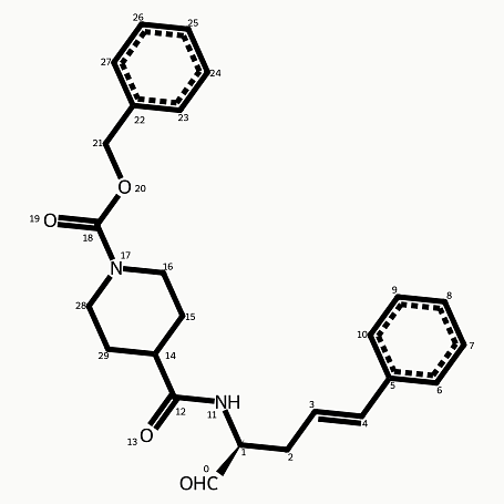 O=C[C@H](CC=Cc1ccccc1)NC(=O)C1CCN(C(=O)OCc2ccccc2)CC1